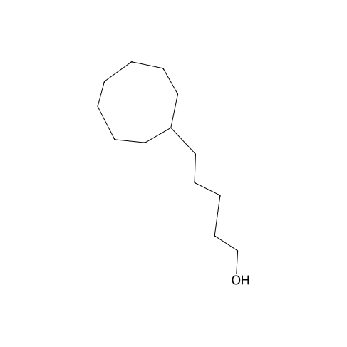 OCCCCCC1CCCCCCC1